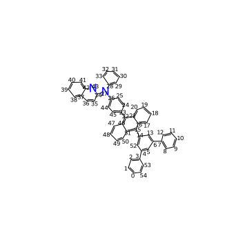 c1ccc(-c2cc(-c3ccccc3)cc(-c3c4ccccc4c(-c4ccc(N(c5ccccc5)c5ccc6ccccc6n5)cc4)c4ccccc34)c2)cc1